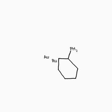 PC1CCCCC1.[Au].[Ru]